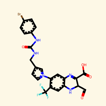 O=CC1Nc2cc(C(F)(F)F)c(-n3ccc(CNC(=O)Nc4ccc(Br)cc4)c3)cc2N=C1C(=O)O